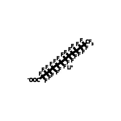 O=C([O-])C(F)(F)C(F)(F)C(F)(F)C(F)(F)C(F)(F)C(F)(F)C(F)(F)C(F)(F)C(F)(F)C(F)(F)C(F)(F)C(F)(F)C(F)(F)F.[Li+]